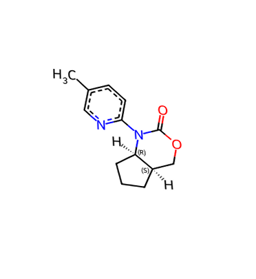 Cc1ccc(N2C(=O)OC[C@H]3CCC[C@H]32)nc1